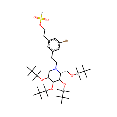 CC(C)(C)[Si](C)(C)OC[C@@H]1C(O[Si](C)(C)C(C)(C)C)C(O[Si](C)(C)C(C)(C)C)C(O[Si](C)(C)C(C)(C)C)CN1CCc1cc(Br)cc(CCOS(C)(=O)=O)c1